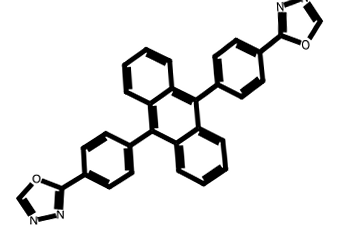 c1ccc2c(-c3ccc(-c4nnco4)cc3)c3ccccc3c(-c3ccc(-c4nnco4)cc3)c2c1